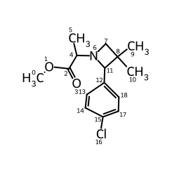 COC(=O)C(C)N1CC(C)(C)C1c1ccc(Cl)cc1